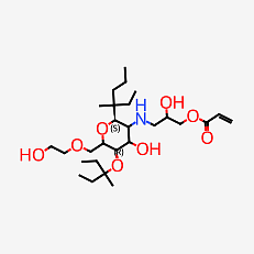 C=CC(=O)OCC(O)CNC1C(O)[C@@H](OC(C)(CC)CC)C(COCCO)O[C@H]1C(C)(CC)CCC